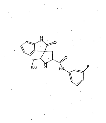 CC(C)(C)CC1NC(C(=O)Nc2cccc(F)c2)CC12C(=O)Nc1ccccc12